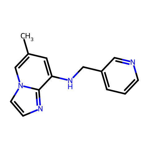 Cc1cc(NCc2cccnc2)c2nccn2c1